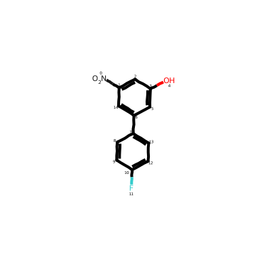 O=[N+]([O-])c1cc(O)cc(-c2ccc(F)cc2)c1